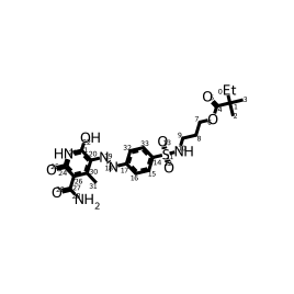 CCC(C)(C)C(=O)OCCCNS(=O)(=O)c1ccc(N=Nc2c(O)[nH]c(=O)c(C(N)=O)c2C)cc1